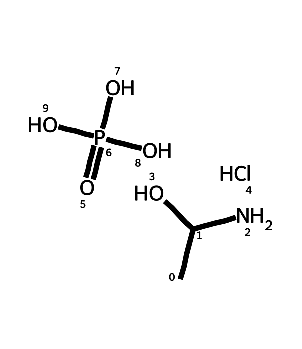 CC(N)O.Cl.O=P(O)(O)O